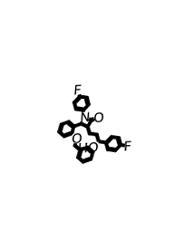 O=C1C(CCC(O)c2ccc(F)cc2)C(c2ccccc2OCc2ccccc2)N1c1ccc(F)cc1